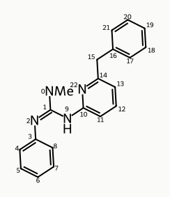 CNC(=Nc1ccccc1)Nc1cccc(Cc2ccccc2)n1